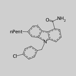 CCCCCc1c[c]c2c3c(C(N)=O)cccc3n(Cc3ccc(Cl)cc3)c2c1